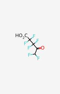 O=C(O)C(F)(F)C(F)(F)C(=O)C(F)F